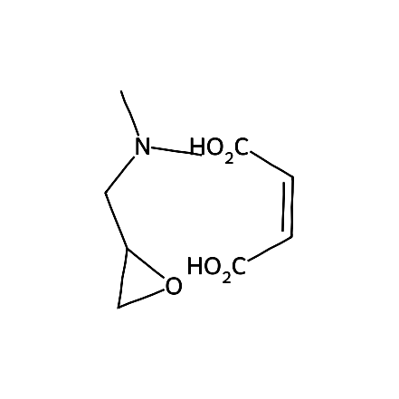 CN(C)CC1CO1.O=C(O)/C=C\C(=O)O